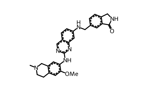 COc1cc2c(cc1Nc1ncc3ccc(NCc4ccc5c(c4)C(=O)NC5)cc3n1)CN(C)CC2